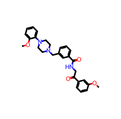 COc1cccc(C(=O)CNC(=O)c2cccc(CN3CCN(c4ccccc4OC)CC3)c2)c1